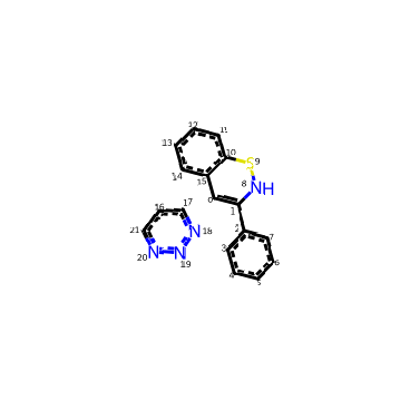 C1=C(c2ccccc2)NSc2ccccc21.c1cnnnc1